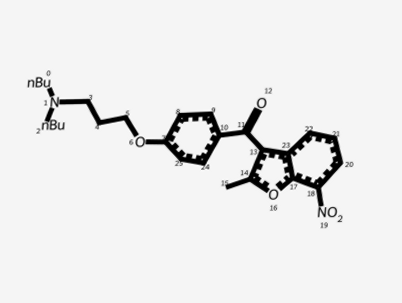 CCCCN(CCCC)CCCOc1ccc(C(=O)c2c(C)oc3c([N+](=O)[O-])cccc23)cc1